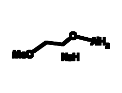 COCC[O][AlH2].[NaH]